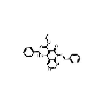 CCOC(=O)c1c(NCc2ccccc2)c2cncnc2n(OCc2ccccc2)c1=O